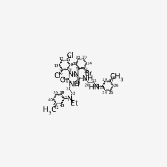 CCN(CCNC(=O)N(c1cc(Cl)ccc1Cl)N(C(=O)NCCNc1cccc(C)c1)c1ccccc1Br)c1cccc(C)c1